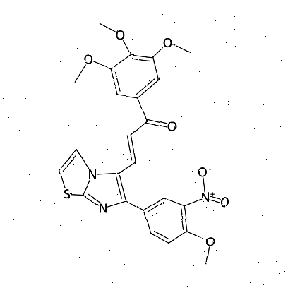 COc1ccc(-c2nc3sccn3c2/C=C/C(=O)c2cc(OC)c(OC)c(OC)c2)cc1[N+](=O)[O-]